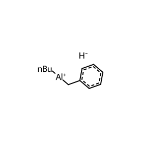 CCC[CH2][Al+][CH2]c1ccccc1.[H-]